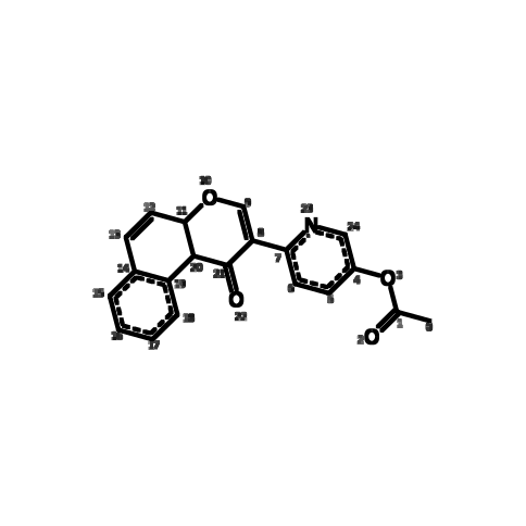 CC(=O)Oc1ccc(C2=COC3C=Cc4ccccc4C3C2=O)nc1